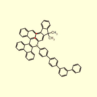 CC1(C)c2ccccc2-c2ccc(N(c3ccc(-c4ccc(-c5cccc(-c6ccccc6)c5)cc4)cc3)c3c(-c4cccc5ccccc45)c4ccccc4c4ccccc34)cc21